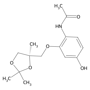 CC(=O)Nc1ccc(O)cc1OC[C@]1(C)COC(C)(C)O1